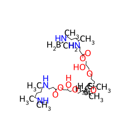 BC(=C)NC(C)CCC(C)NCCC(=O)OCC(O)COCCC[Si](C)(C)O[Si](C)(C)CCCOCC(O)COC(=O)CCNC(C)CCC(C)NC